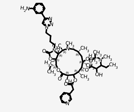 CCO[C@@H](O[C@@H]1[C@H](C)C(OC(=O)Cc2cccnc2)[C@@H](C)C(=O)O[C@H](CC)[C@@]2(C)OC(=O)N(CCCCn3cc(-c4cccc(N)c4)nn3)[C@@H]2[C@@H](C)N(C)C[C@H](C)C[C@@]1(C)OC)C(O)C(CC)N(C)C